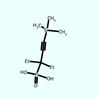 CCC(C#C[Si](C)(C)C)(CC)P(=O)(O)O